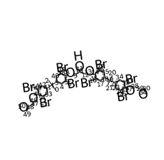 CC(C)(c1cc(Br)c(OCC(O)COc2c(Br)cc(C(C)(C)c3cc(Br)c(OCC4CO4)c(Br)c3)cc2Br)c(Br)c1)c1cc(Br)c(OCC2CO2)c(Br)c1